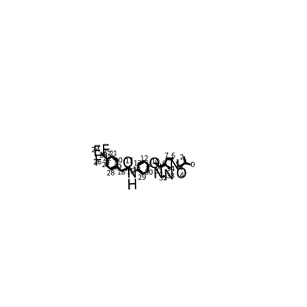 CC(C)C(=O)n1ccc2c(Oc3ccc(NC(=O)Cc4ccc(C(F)(F)F)cc4)cc3)ncnc21